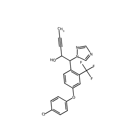 CC#CC(O)C(c1ccc(Oc2ccc(Cl)cc2)cc1C(F)(F)F)n1cncn1